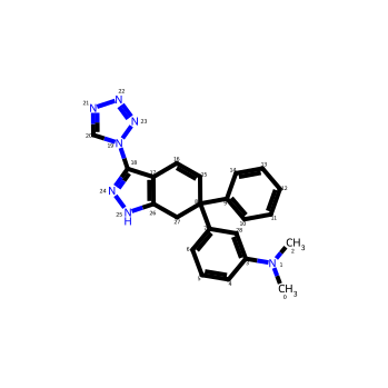 CN(C)c1cccc(C2(c3ccccc3)C=Cc3c(-n4cnnn4)n[nH]c3C2)c1